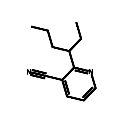 CCCC(CC)c1ncccc1C#N